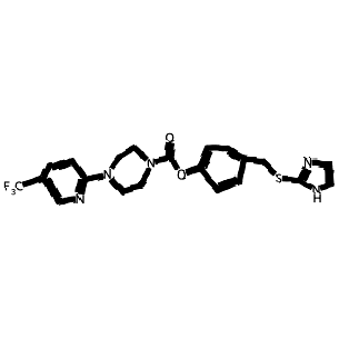 O=C(Oc1ccc(CSc2ncc[nH]2)cc1)N1CCN(c2ccc(C(F)(F)F)cn2)CC1